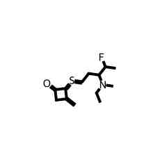 C=C1CC(=O)C1=S=CCC(C(C)F)N(C)CC